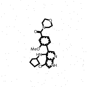 COc1cc(C(=O)N2CCOCC2)ccc1-c1cnc2[nH]cc(Cl)c2c1NC1CCCC1